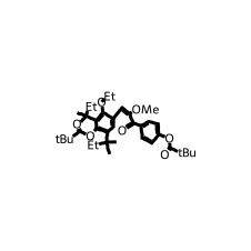 CCOc1c(C=C(OC)C(=O)c2ccc(OC(=O)C(C)(C)C)cc2)cc(C(C)(C)CC)c(OC(=O)C(C)(C)C)c1C(C)(C)CC